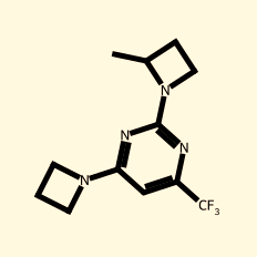 CC1CCN1c1nc(N2CCC2)cc(C(F)(F)F)n1